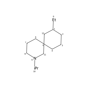 CCC1CCCC2(CCCN(C(C)C)C2)C1